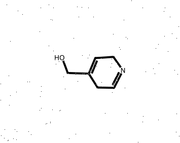 OCC1=CCN=CC1